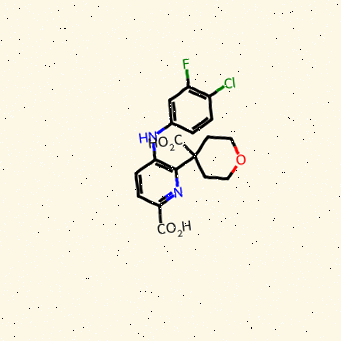 O=C(O)c1ccc(Nc2ccc(Cl)c(F)c2)c(C2(C(=O)O)CCOCC2)n1